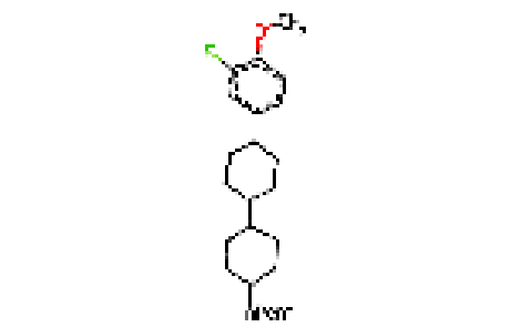 CCCCCC1CCC(C2CCC(c3ccc(OC(F)(F)F)c(F)c3)CC2)CC1